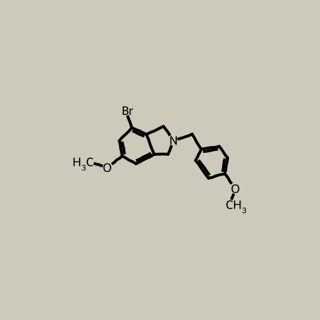 COc1ccc(CN2Cc3cc(OC)cc(Br)c3C2)cc1